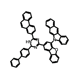 c1ccc(-c2ccc(C3N=C(c4cc(-n5c6ccccc6c6cc7ccccc7cc65)c5oc6ccccc6c5c4)N=C(c4ccc5c(ccc6ccccc65)c4)N3)cc2)cc1